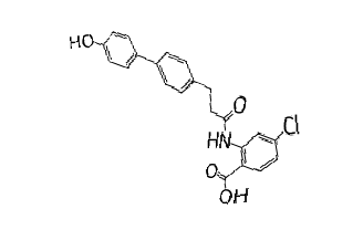 O=C(CCc1ccc(-c2ccc(O)cc2)cc1)Nc1cc(Cl)ccc1C(=O)O